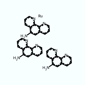 Nc1cc2cccnc2c2ncccc12.Nc1cc2cccnc2c2ncccc12.Nc1cc2cccnc2c2ncccc12.[Ru]